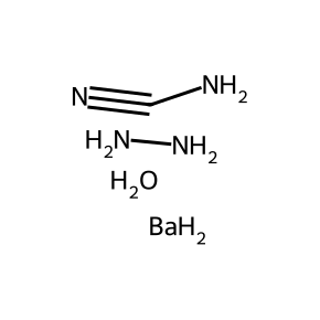 N#CN.NN.O.[BaH2]